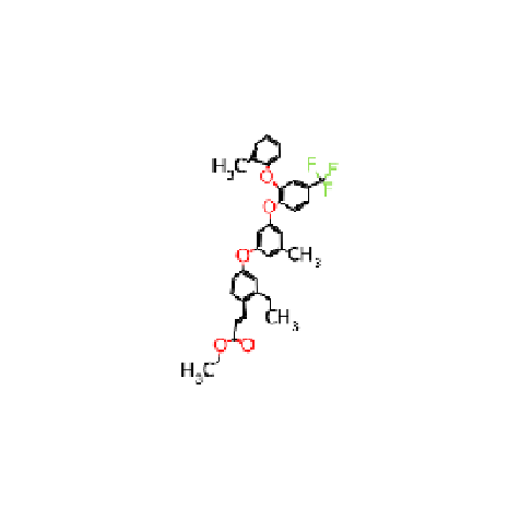 CCOC(=O)C=Cc1ccc(Oc2cc(C)cc(Oc3ccc(C(F)(F)F)cc3Oc3ccccc3C)c2)cc1CC